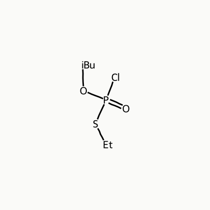 CCSP(=O)(Cl)OC(C)CC